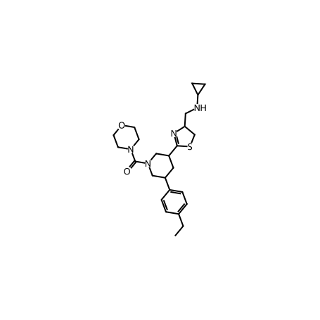 CCc1ccc(C2CC(C3=NC(CNC4CC4)CS3)CN(C(=O)N3CCOCC3)C2)cc1